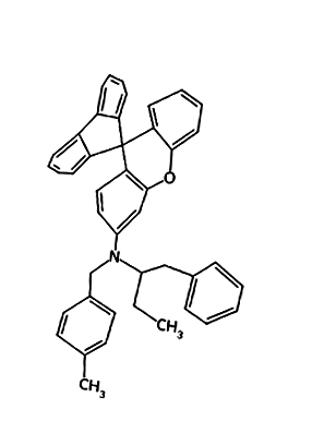 CCC(Cc1ccccc1)N(Cc1ccc(C)cc1)c1ccc2c(c1)Oc1ccccc1C21c2ccccc2-c2ccccc21